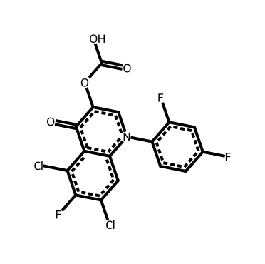 O=C(O)Oc1cn(-c2ccc(F)cc2F)c2cc(Cl)c(F)c(Cl)c2c1=O